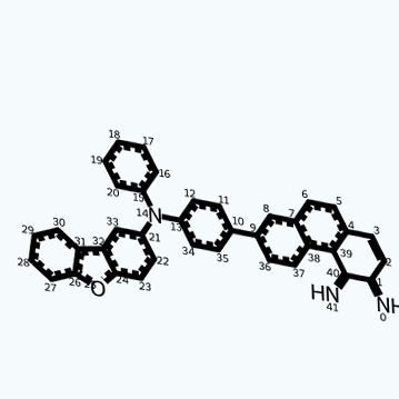 N=C1C=Cc2ccc3cc(-c4ccc(N(c5ccccc5)c5ccc6oc7ccccc7c6c5)cc4)ccc3c2C1=N